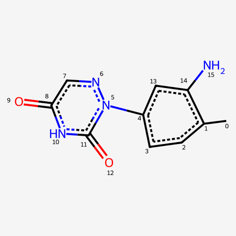 Cc1ccc(-n2ncc(=O)[nH]c2=O)cc1N